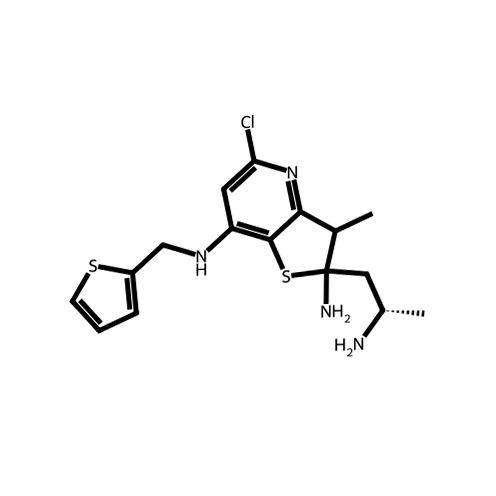 CC1c2nc(Cl)cc(NCc3cccs3)c2SC1(N)C[C@H](C)N